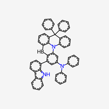 B1c2cccc3c2N(c2ccccc2C3(c2ccccc2)c2ccccc2)c2cc(N(c3ccccc3)c3ccccc3)cc(-c3cccc4c3[nH]c3ccccc34)c21